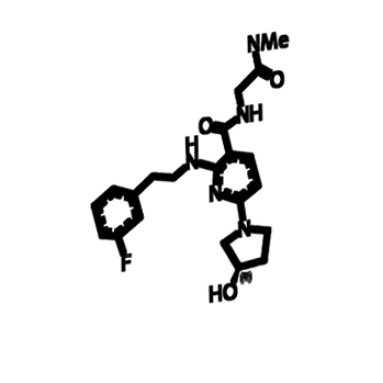 CNC(=O)CNC(=O)c1ccc(N2CC[C@@H](O)C2)nc1NCCc1cccc(F)c1